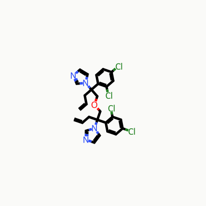 C=CCC(COCC(CC=C)(c1ccc(Cl)cc1Cl)n1ccnc1)(c1ccc(Cl)cc1Cl)n1ccnc1